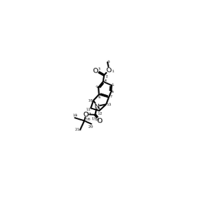 COC(=O)c1ccc2c(c1)C1CCC2N1C(=O)OC(C)(C)C